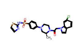 C[C@H]1CN(c2ccc(S(=O)(=O)Nc3nccs3)cc2)CCN1C(=O)Cn1ccc2ccc(Cl)cc21